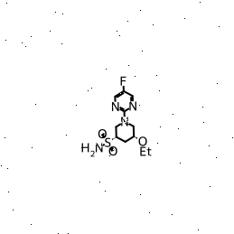 CCO[C@@H]1C[C@H](S(N)(=O)=O)CN(c2ncc(F)cn2)C1